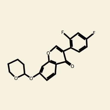 O=c1c(-c2ccc(F)cc2F)coc2cc(OC3CCCCO3)ccc12